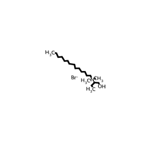 CCCCCCCCCCCCCC[N+](C)(C)C(CC)CO.[Br-]